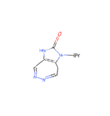 CC(C)n1c(=O)[nH]c2cnncc21